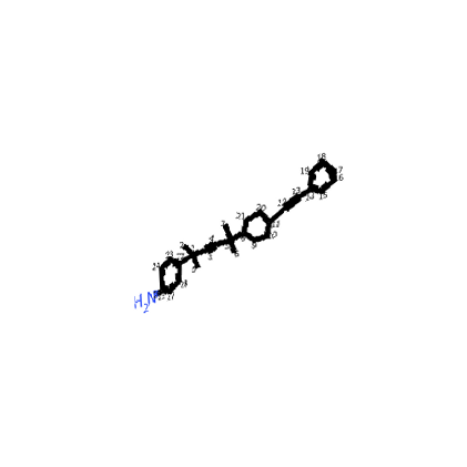 CC(C)(C#CC(C)(C)C1CCC(C#Cc2ccccc2)CC1)c1ccc(N)cc1